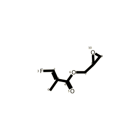 CC(=CF)C(=O)OCC1CO1